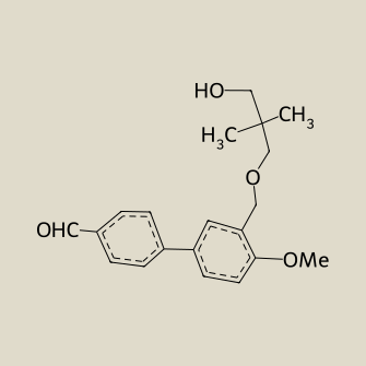 COc1ccc(-c2ccc(C=O)cc2)cc1COCC(C)(C)CO